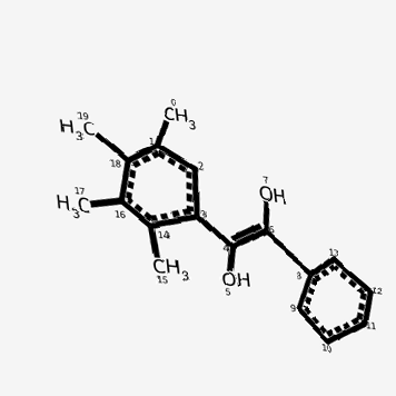 Cc1cc(C(O)=C(O)c2ccccc2)c(C)c(C)c1C